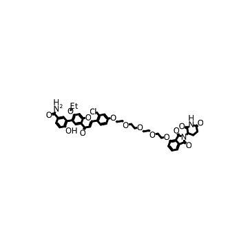 CCOc1cc2oc(-c3ccc(OCCOCCOCCOCCOc4cccc5c4C(=O)N(C4CCC(=O)NC4=O)C5=O)cc3Cl)cc(=O)c2cc1-c1cc(C(N)=O)ccc1O